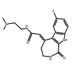 CN(C)CCNC(=O)C=C1CCNC(=O)c2[nH]c3ccc(F)cc3c21